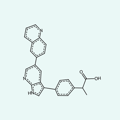 CC(C(=O)O)c1ccc(-c2c[nH]c3ncc(-c4ccc5ncccc5c4)cc23)cc1